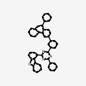 c1ccc(-c2nc(-c3cccc(-c4ccc5c(-c6ccccc6)cc6ccccc6c5c4)c3)nc(-c3cccc4oc5ccccc5c34)n2)cc1